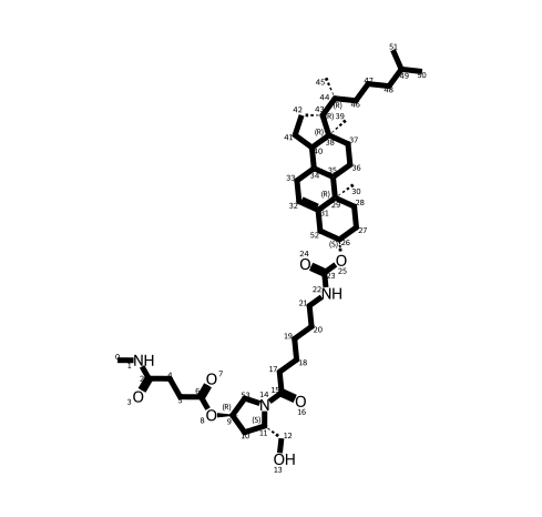 CNC(=O)CCC(=O)O[C@@H]1C[C@@H](CO)N(C(=O)CCCCCNC(=O)O[C@H]2CC[C@@]3(C)C(=CCC4C3CC[C@@]3(C)C4CC[C@@H]3[C@H](C)CCCC(C)C)C2)C1